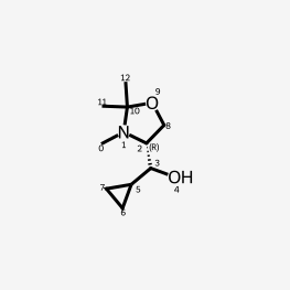 CN1[C@@H](C(O)C2CC2)COC1(C)C